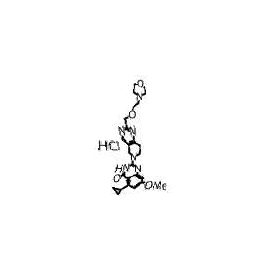 COc1cc(C2CC2)c2c(=O)[nH]c(N3CCc4nc(COCCN5CCOCC5)ncc4C3)nc2c1.Cl